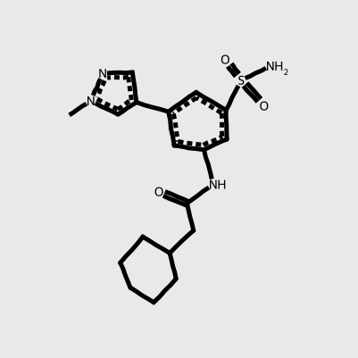 Cn1cc(-c2cc(NC(=O)CC3CCCCC3)cc(S(N)(=O)=O)c2)cn1